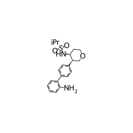 CC(C)S(=O)(=O)N[C@H]1CCOC[C@H]1c1ccc(-c2ccccc2N)cc1